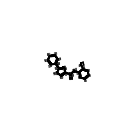 Clc1ccccc1SNc1csc(-c2ccccc2)n1